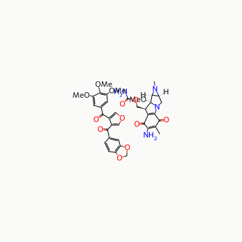 CO[C@@]12[C@H](COC(N)=O)C3=C(C(=O)C(C)=C(N)C3=O)N1C[C@H]1[C@@H]2N1C.COc1cc(C(=O)c2cocc2C(=O)c2ccc3c(c2)OCO3)cc(OC)c1OC